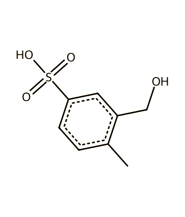 Cc1ccc(S(=O)(=O)O)cc1CO